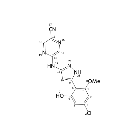 COc1cc(Cl)cc(O)c1-c1cc(Nc2cnc(C#N)cn2)n[nH]1